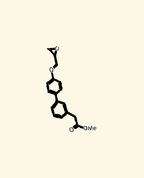 COC(=O)Cc1cccc(-c2ccc(OCC3CO3)cc2)c1